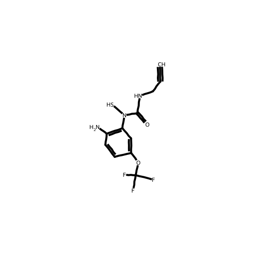 C#CCNC(=O)N(S)c1cc(OC(F)(F)F)ccc1N